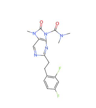 CN(C)C(=O)n1c(=O)n(C)c2cnc(CCc3ccc(F)cc3F)nc21